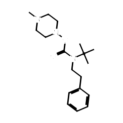 CN1CCN(OC(=O)N(CCc2ccccc2)C(C)(C)C)CC1